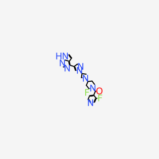 O=C(c1c(F)cncc1F)N1CCC(N2CC(n3cc(-c4ncnc5[nH]ccc45)cn3)C2)CC1